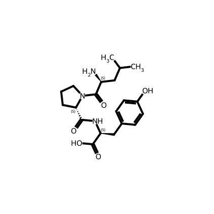 CC(C)C[C@H](N)C(=O)N1CCC[C@H]1C(=O)N[C@@H](Cc1ccc(O)cc1)C(=O)O